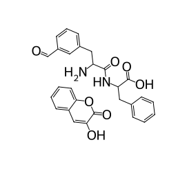 NC(Cc1cccc(C=O)c1)C(=O)NC(Cc1ccccc1)C(=O)O.O=c1oc2ccccc2cc1O